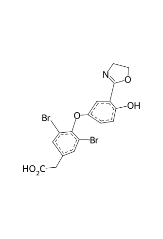 O=C(O)Cc1cc(Br)c(Oc2ccc(O)c(C3=NCCO3)c2)c(Br)c1